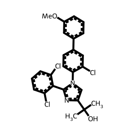 COc1cccc(-c2ccc(-n3cc(C(C)(C)O)nc3-c3c(Cl)cccc3Cl)c(Cl)c2)c1